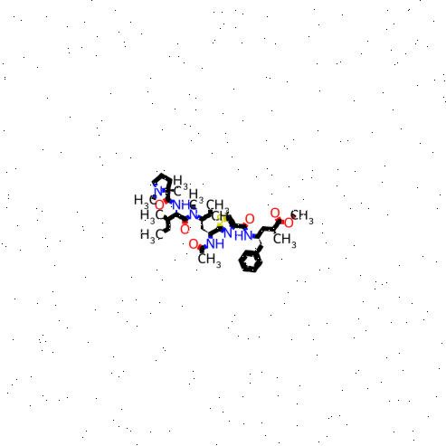 CCC(C)[C@H](NC(=O)[C@@]1(C)CCCN1C)C(=O)N(C)[C@H](C[C@@H](NC(C)=O)c1nc(C(=O)N[C@@H](Cc2ccccc2)C[C@H](C)C(=O)OC)cs1)C(C)C